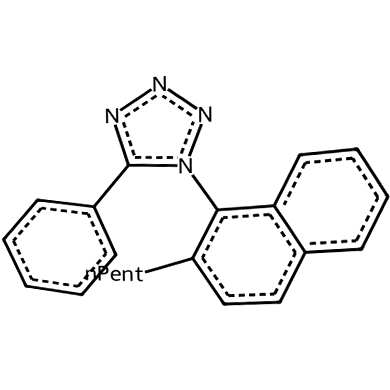 CCCCCc1ccc2ccccc2c1-n1nnnc1-c1ccccc1